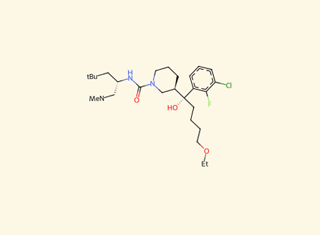 CCOCCCC[C@](O)(c1cccc(Cl)c1F)[C@@H]1CCCN(C(=O)N[C@H](CNC)CC(C)(C)C)C1